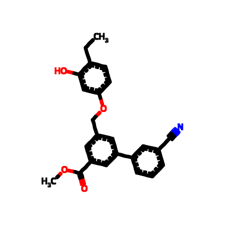 CCc1ccc(OCc2cc(C(=O)OC)cc(-c3cccc(C#N)c3)c2)cc1O